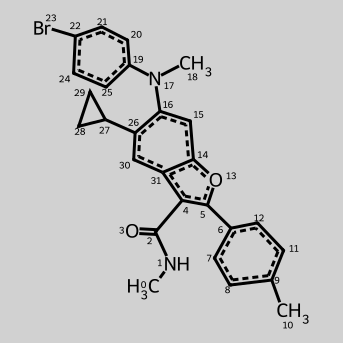 CNC(=O)c1c(-c2ccc(C)cc2)oc2cc(N(C)c3ccc(Br)cc3)c(C3CC3)cc12